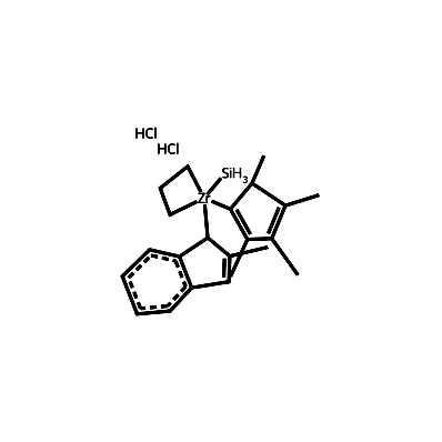 CC1=Cc2ccccc2[CH]1[Zr]1([SiH3])([C]2=C(C)C(C)=C(C)C2C)[CH2]C[CH2]1.Cl.Cl